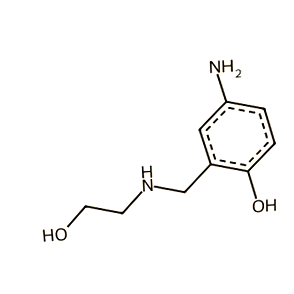 Nc1ccc(O)c(CNCCO)c1